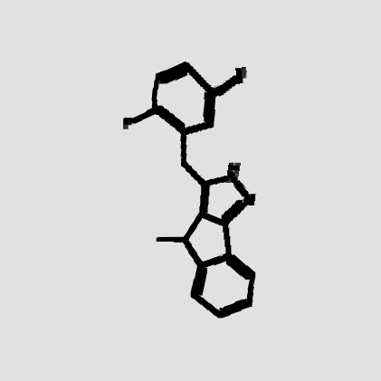 CC1c2ccccc2-c2n[nH]c(Cc3cc(F)ccc3F)c21